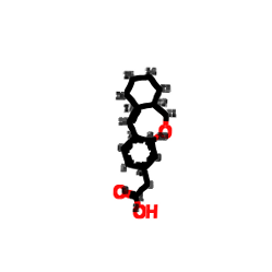 O=C(O)Cc1ccc2c(c1)OCC1CCCCC1=C2